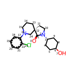 O=C1N([C@H]2CC[C@H](O)CC2)CC[C@]12CCCN(c1ccccc1Cl)C2